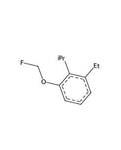 CCc1cccc(OCF)c1C(C)C